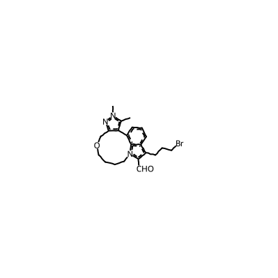 Cc1c2c(nn1C)COCCCCn1c(C=O)c(CCCBr)c3cccc-2c31